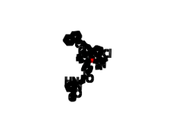 COC(=O)c1cccc2[nH]c(CCC(=O)N3CCN(CCn4c(C(=O)OC(C)(C)C)c(CCCOc5cccc6ccccc56)c5ccc(Cl)c(-c6c(C)nn(C)c6C)c54)CC3)nc12